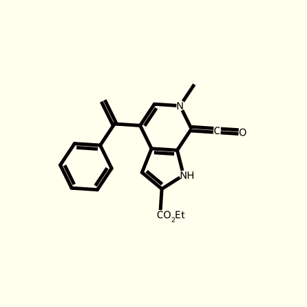 C=C(C1=CN(C)C(=C=O)c2[nH]c(C(=O)OCC)cc21)c1ccccc1